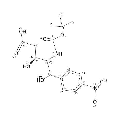 CC(C)(C)OC(=O)N[C@H](C(O)c1ccc([N+](=O)[O-])cc1)[C@@H](O)CC(=O)O